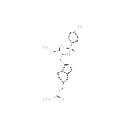 COC(=O)CCc1ccc2c(CC(NS(=O)(=O)c3ccc(C(C)(C)C)cc3)C(=O)OC(C)(C)C)occ2c1